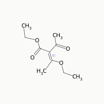 CCOC(=O)/C(C(C)=O)=C(\C)OCC